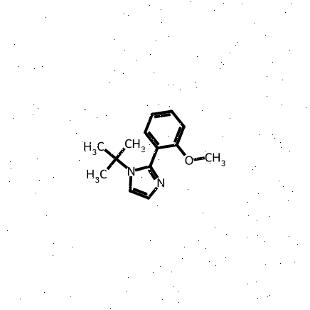 COc1ccccc1-c1nccn1C(C)(C)C